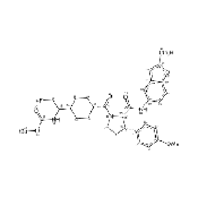 COc1ccc([C@@H]2CCN(C(=O)[C@H]3CC[C@H](C(CF)NC(=O)OC(C)(C)C)CC3)[C@@H]2C(=O)Nc2ccc3oc(C(=O)O)cc3c2)cc1